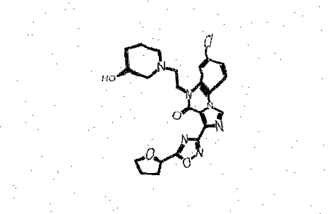 O=c1c2c(-c3noc(C4CCCO4)n3)ncn2c2ccc(Cl)cc2n1CCN1CCCC(O)C1